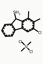 C[Si](C)(Cl)Cl.Cc1c(Cl)cc2c(c1C)C([SiH3])c1ccccc1-2